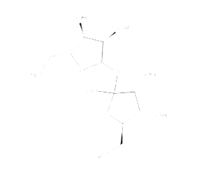 OC[C@H]1OC(OC2(O)O[C@H](CO)[C@@H](O)[C@H]2O)[C@H](O)[C@@H]1O